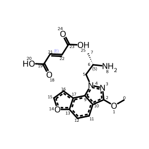 COc1nn(C[C@H](C)N)c2c1ccc1occc12.O=C(O)/C=C/C(=O)O